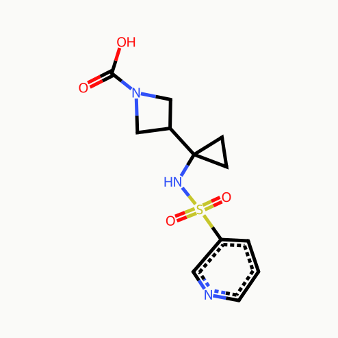 O=C(O)N1CC(C2(NS(=O)(=O)c3cccnc3)CC2)C1